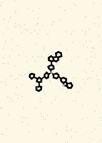 c1ccc(-c2cc(-c3ccccc3)cc(-c3ccc(N(c4ccc(-c5ccc6c(c5)oc5ccccc56)cc4)c4ccc(-c5cccc6c5ccc5ccccc56)cc4)cc3)c2)cc1